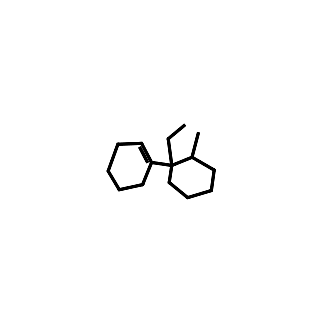 CCC1(C2=CCCCC2)CCCCC1C